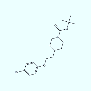 CC(C)(C)OC(=O)N1CCC(CCOc2ccc(Br)cc2)CC1